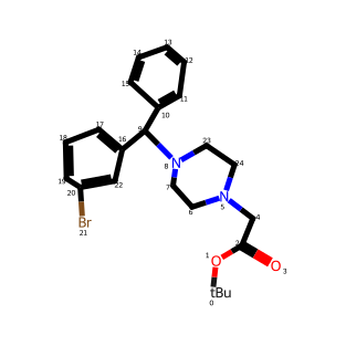 CC(C)(C)OC(=O)CN1CCN(C(c2ccccc2)c2cccc(Br)c2)CC1